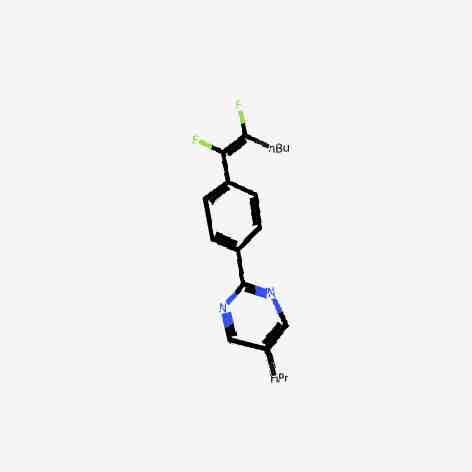 CCCC/C(F)=C(/F)c1ccc(-c2ncc(CCC)cn2)cc1